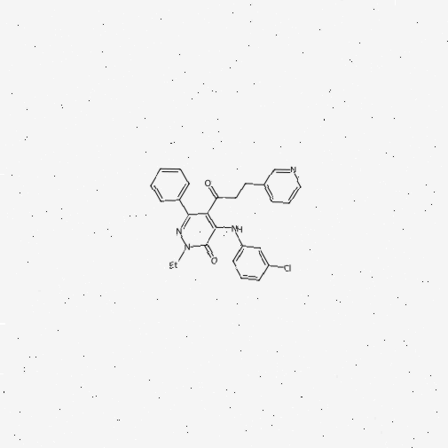 CCn1nc(-c2ccccc2)c(C(=O)CCc2cccnc2)c(Nc2cccc(Cl)c2)c1=O